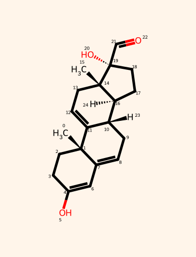 C[C@]12CCC(O)=CC1=CC[C@@H]1C2=CC[C@@]2(C)[C@H]1CC[C@]2(O)C=O